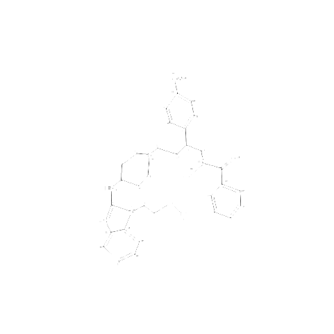 CCOCCn1c(NC2CCN(CCC(CN(C)C(=O)c3ccccc3)c3ccc(OC)cc3)CC2)nc2ccccc21